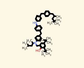 CC(C)CC(C)N(Cc1cc(C(C)(C)C)cc(C(C)(C)C)c1O)c1ccc(Cc2ccc(Nc3ccc(Cc4ccc(CC(C)CC(C)(C)C)cc4)cc3)cc2)cc1